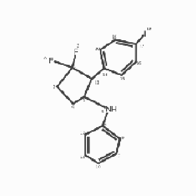 FC1(F)CCC(Nc2ccccc2)C1c1ccc(I)cc1